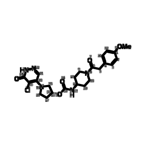 COc1ccc(CC(=O)N2CCC(NC(=O)O[C@@H]3CCN(c4cn[nH]c(=O)c4Cl)C3)CC2)cc1